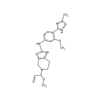 COc1cc(Nc2nc3c(s2)CN(C(C=O)OC)CC3)ccc1-c1nc(C)c[nH]1